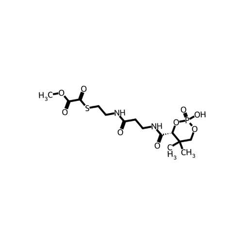 COC(=O)C(=O)SCCNC(=O)CCNC(=O)[C@@H]1OP(=O)(O)OCC1(C)C